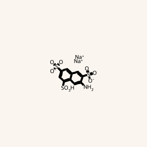 Nc1cc2c(S(=O)(=O)O)cc(S(=O)(=O)[O-])cc2cc1S(=O)(=O)[O-].[Na+].[Na+]